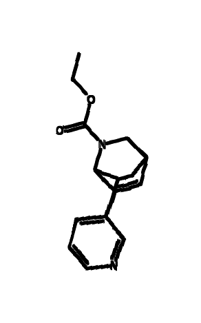 CCOC(=O)N1CC2C=CC1C(c1cccnc1)C2